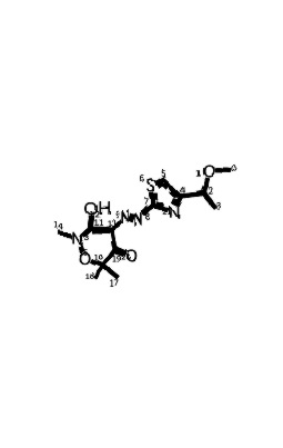 COC(C)c1csc(N=NC2=C(O)N(C)OC(C)(C)C2=O)n1